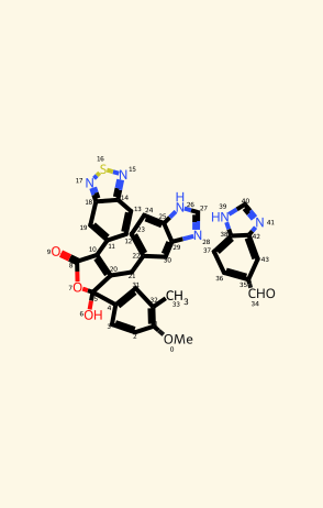 COc1ccc(C2(O)OC(=O)C(c3ccc4nsnc4c3)=C2Cc2ccc3[nH]cnc3c2)cc1C.O=Cc1ccc2[nH]cnc2c1